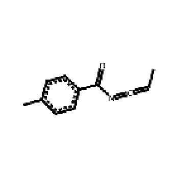 CC=C=NC(=O)c1ccc(C)cc1